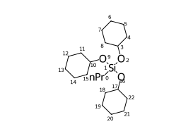 CCC[Si](OC1CCCCC1)(OC1CCCCC1)OC1CCCCC1